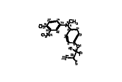 CN(c1ccc(OC(F)(F)C(F)F)cc1)c1ccc(Cl)c([N+](=O)[O-])c1